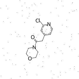 O=C(Cc1ccnc(Cl)c1)N1CCOCC1